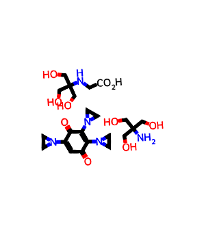 NC(CO)(CO)CO.O=C(O)CNC(CO)(CO)CO.O=C1C=C(N2CC2)C(=O)C(N2CC2)=C1N1CC1